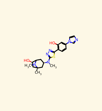 CN(c1nnc(-c2ccc(-n3ccnc3)cc2O)s1)[C@@H]1CC2[C@H](O)C[C@@](C)(C1)N2C